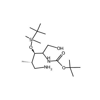 C[C@@H](CN)[C@@H](O[Si](C)(C)C(C)(C)C)C(CO)NC(=O)OC(C)(C)C